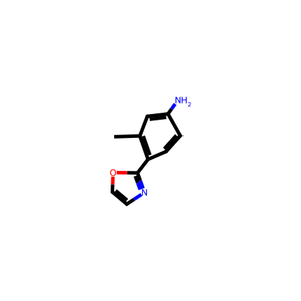 Cc1cc(N)[c]cc1-c1ncco1